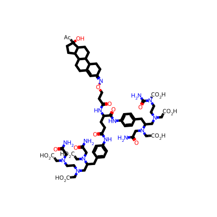 CC(=O)C1(O)CCC2C3CCC4=C/C(=N\OCCC(=O)NC(CCC(=O)Nc5ccc(CC(CN(CCN(CC(N)=O)CC(=O)O)CC(=O)O)N(CC(N)=O)CC(=O)O)cc5)C(=O)Nc5ccc(CC(CN(CCN(C(N)=O)C(=O)O)CC(=O)O)N(CC(N)=O)CC(=O)O)cc5)CCC4C3CCC21